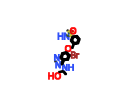 CC(CO)Nc1ncnc2cc(OCc3cccc(S(C)(=N)=O)c3)c(Br)cc12